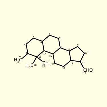 CC1CCC2CCC3C4CCC(C=O)C4CCC3C2C1(C)C